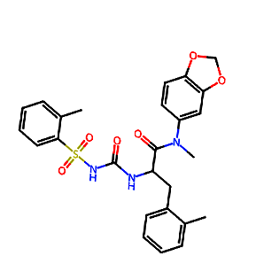 Cc1ccccc1CC(NC(=O)NS(=O)(=O)c1ccccc1C)C(=O)N(C)c1ccc2c(c1)OCO2